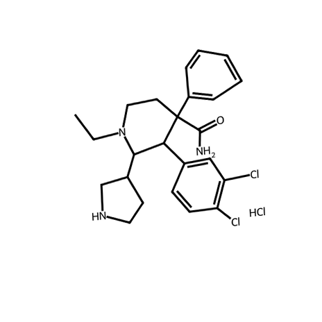 CCN1CCC(C(N)=O)(c2ccccc2)C(c2ccc(Cl)c(Cl)c2)C1C1CCNC1.Cl